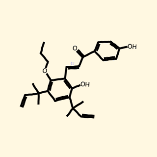 C=CC(C)(C)c1cc(C(C)(C)C=C)c(OCCC)c(/C=C/C(=O)c2ccc(O)cc2)c1O